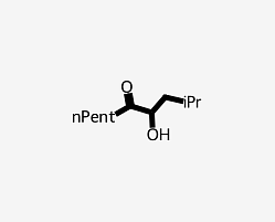 CCCCCC(=O)C(O)CC(C)C